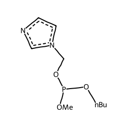 CCCCOP(OC)OCn1ccnc1